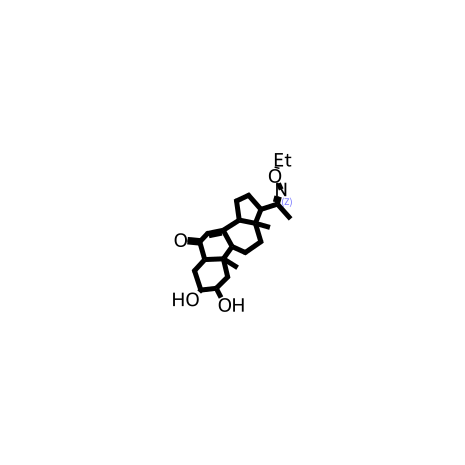 CCO/N=C(/C)C1CCC2C3=CC(=O)C4CC(O)C(O)CC4(C)C3CCC21C